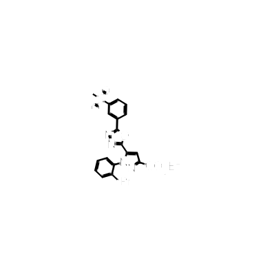 CCOC(=O)c1cc(-c2nnc(-c3cccc(S(C)(=O)=O)c3)o2)n(-c2ccccc2C(C)C)n1